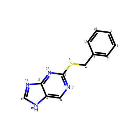 c1ccc(CSc2ncc3[nH]cnc3n2)cc1